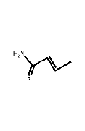 C/C=C/C(N)=S